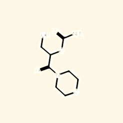 NC(=O)OC(CO)C(=O)N1CCOCC1